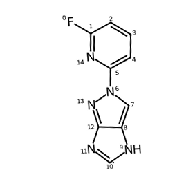 Fc1cccc(-n2cc3[nH][c]nc3n2)n1